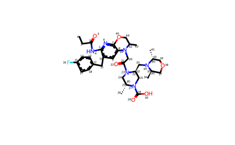 CCC(=O)Nc1nc2c(cc1Cc1ccc(F)cc1)N(CC(=O)N1C[C@@H](C)N(C(=O)O)C[C@@H]1CN1[C@H](C)COC[C@H]1C)C(C)CO2